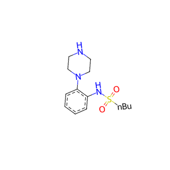 CCCCS(=O)(=O)Nc1ccccc1N1CCNCC1